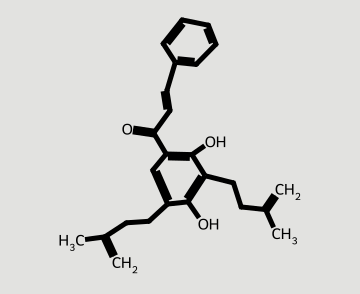 C=C(C)CCc1cc(C(=O)C=Cc2ccccc2)c(O)c(CCC(=C)C)c1O